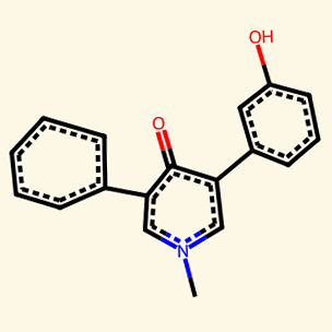 Cn1cc(-c2ccccc2)c(=O)c(-c2cccc(O)c2)c1